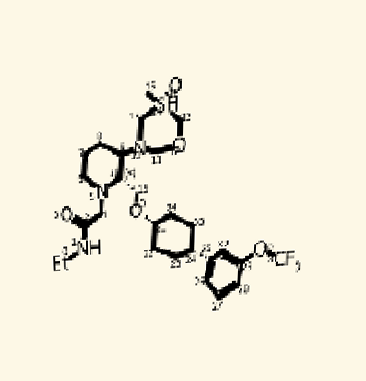 CCNC(=O)CN1CCCC(N2COC[SH](C)(=O)C2)[C@@H]1CO[C@H]1CC[C@@H](c2cccc(OC(F)(F)F)c2)CC1